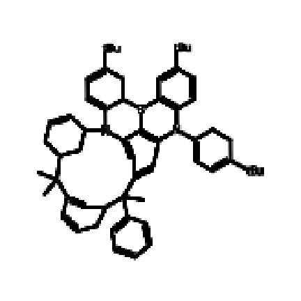 CC(C)(C)C1=CC=C(N2c3ccc(C(C)(C)C)cc3B3c4c2cc2cc4N(C4=CC=C(C(C)(C)C)CC34)C3C=CCC(C3)C(C)(C)C3=CC(CC=C3)C2(C)c2ccccc2)CC1